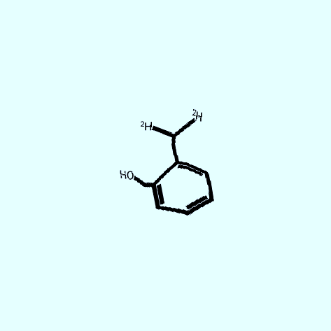 [2H]C([2H])c1ccccc1O